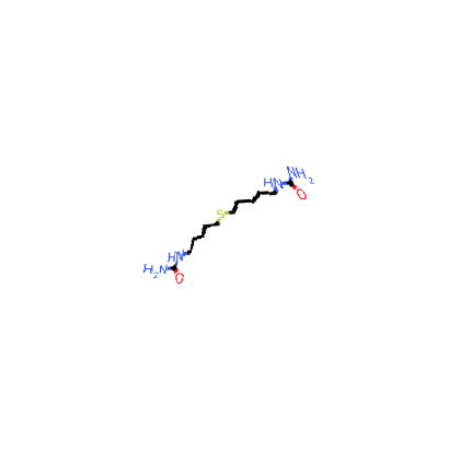 NC(=O)NCCCCCSCCCCCNC(N)=O